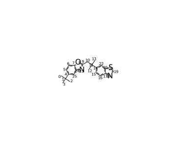 CC(C)(C)c1ccc2oc(CC(C)(C)c3ccc4ncsc4c3)nc2c1